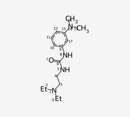 CCN(CC)CCNC(=O)Nc1cccc(N(C)C)c1